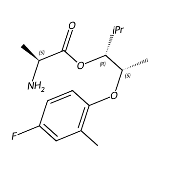 Cc1cc(F)ccc1O[C@@H](C)[C@H](OC(=O)[C@H](C)N)C(C)C